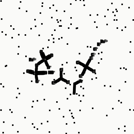 CCBr.ClC(Cl)(Cl)Cl.ClC(Cl)Cl.[Ba+2].[Ba+2].[Cl-].[Cl-].[K+].[OH-].[O]=[Cr](=[O])([O-])[O][Cr](=[O])(=[O])[O-]